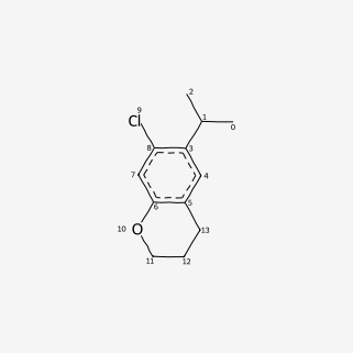 CC(C)c1cc2c(cc1Cl)OCCC2